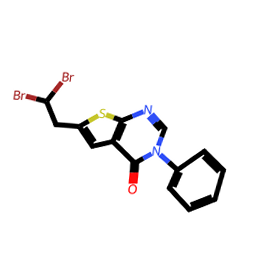 O=c1c2cc(CC(Br)Br)sc2ncn1-c1ccccc1